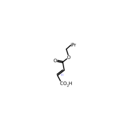 CC(C)COC(=O)/C=C/C(=O)O